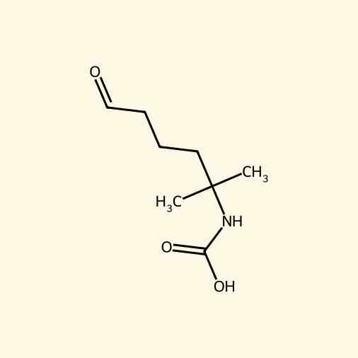 CC(C)(CCCC=O)NC(=O)O